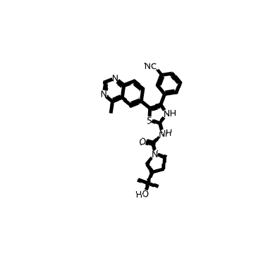 Cc1ncnc2ccc(C3=C(c4cccc(C#N)c4)NC(NC(=O)N4CCC(C(C)(C)O)C4)S3)cc12